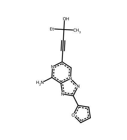 CCC(C)(O)C#Cc1cn2nc(-c3ccco3)nc2c(N)n1